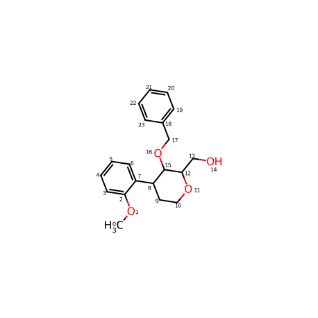 COc1ccccc1C1CCOC(CO)C1OCc1ccccc1